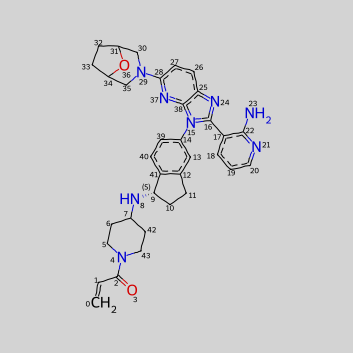 C=CC(=O)N1CCC(N[C@H]2CCc3cc(-n4c(-c5cccnc5N)nc5ccc(N6CC7CCC(C6)O7)nc54)ccc32)CC1